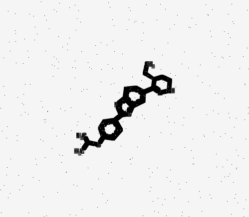 CC[C@H]1CCNN=C1c1ccc2nc(-c3ccc(OC(C)C)cc3)oc2c1